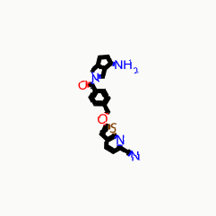 N#Cc1ccc2cc(OCc3ccc(C(=O)N4CC5CCC(N)C5C4)cc3)sc2n1